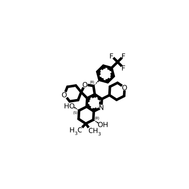 CC1(C)C[C@H](O)c2c(nc(C3CCOCC3)c3c2C2(CCOCC2)O[C@@H]3c2ccc(C(F)(F)F)cc2)[C@@H]1O